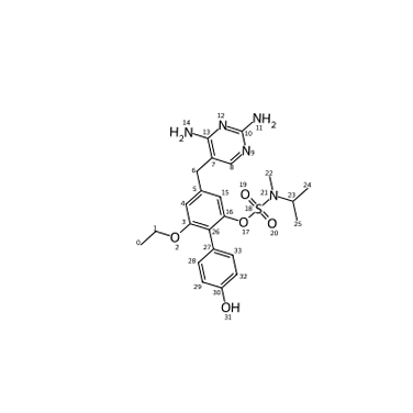 CCOc1cc(Cc2cnc(N)nc2N)cc(OS(=O)(=O)N(C)C(C)C)c1-c1ccc(O)cc1